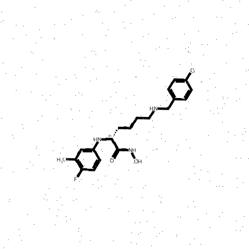 Cc1cc(N[C@H](CCCCNCc2ccc(Cl)cc2)C(=O)NO)ccc1F